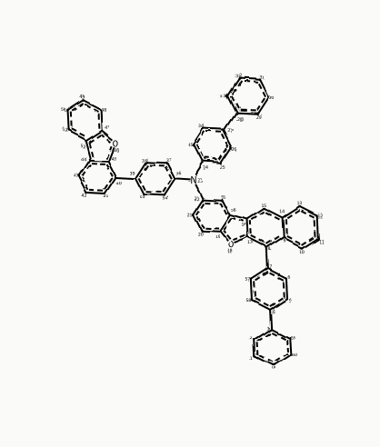 c1ccc(-c2ccc(-c3c4ccccc4cc4c3oc3ccc(N(c5ccc(-c6ccccc6)cc5)c5ccc(-c6cccc7c6oc6ccccc67)cc5)cc34)cc2)cc1